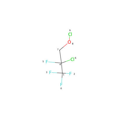 FC(F)(F)C(F)(Cl)COCl